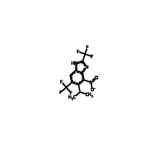 CC(C)c1c(C(F)(F)F)cc2[nH]c(C(F)(F)F)nc2c1[N+](=O)[O-]